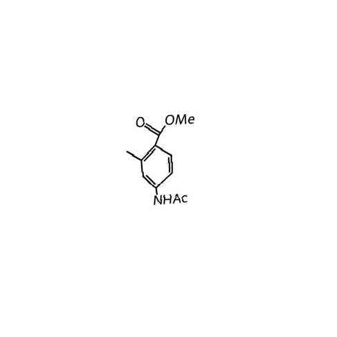 COC(=O)c1ccc(NC(C)=O)cc1C